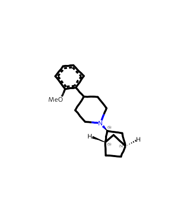 COc1ccccc1C1CCN([C@H]2C[C@H]3CC[C@H]2C3)CC1